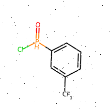 O=[PH](Cl)c1cccc(C(F)(F)F)c1